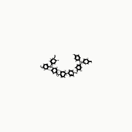 Cc1ccc(N(c2ccc(C)cc2)c2ccc(Oc3ccc(-c4ccc(Oc5ccc(N(c6ccc(C)cc6)c6ccc(C)cc6)cc5)cc4)cc3)cc2)cc1